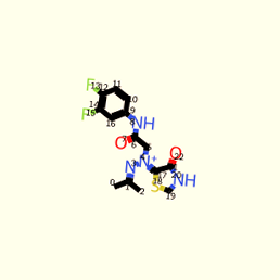 CC(C)=N[N+](CC(=O)Nc1ccc(F)c(F)c1)=C1SCNC1=O